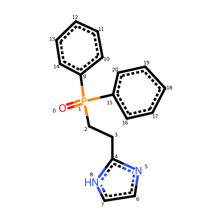 O=P(CCc1ncc[nH]1)(c1ccccc1)c1ccccc1